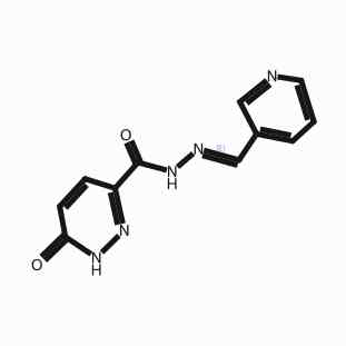 O=C(N/N=C/c1cccnc1)c1ccc(=O)[nH]n1